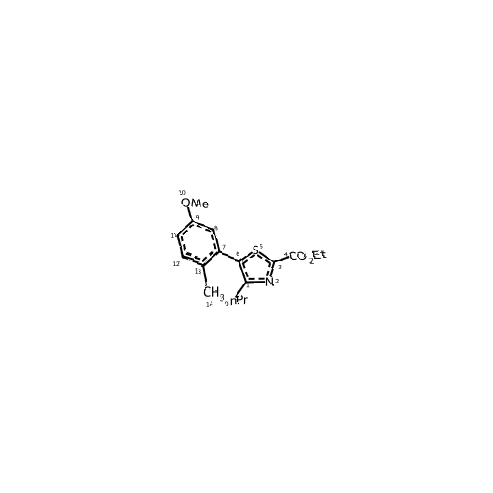 CCCc1nc(C(=O)OCC)sc1-c1cc(OC)ccc1C